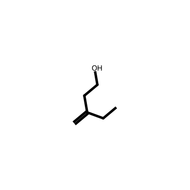 C=C(CC)CCO